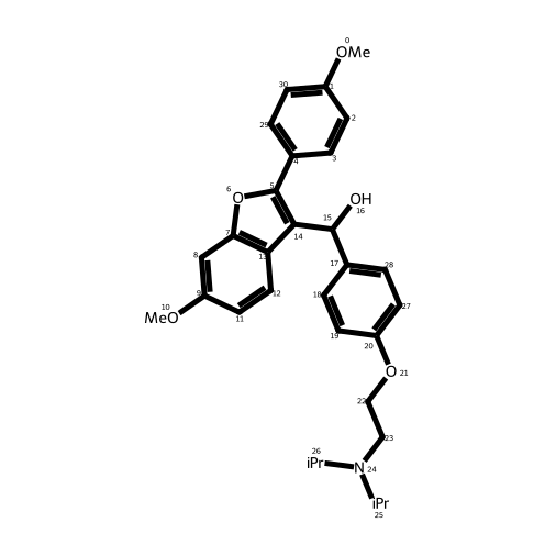 COc1ccc(-c2oc3cc(OC)ccc3c2C(O)c2ccc(OCCN(C(C)C)C(C)C)cc2)cc1